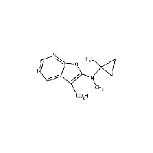 CN(c1oc2ncncc2c1C(=O)O)C1(C)CC1